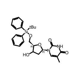 Cc1cn([C@H]2CC(O)[C@@H](CO[Si](c3ccccc3)(c3ccccc3)C(C)(C)C)O2)c(=O)[nH]c1=O